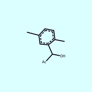 CC(=O)C(O)c1cc(C)ccc1C